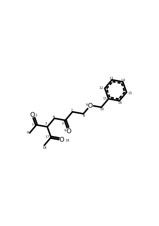 CC(=O)C(CC(=O)CCOCc1ccccc1)C(C)=O